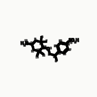 CC(CON1C(C)(C)CC(N)CC1(C)C)c1ccc(S(=O)(=O)O)cc1